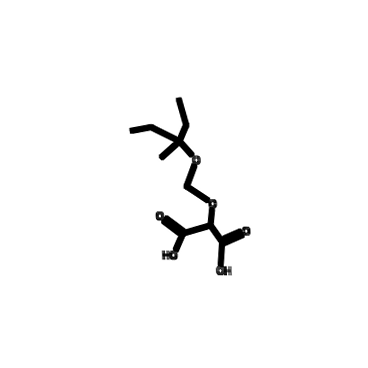 CCC(C)(CC)OCOC(C(=O)O)C(=O)O